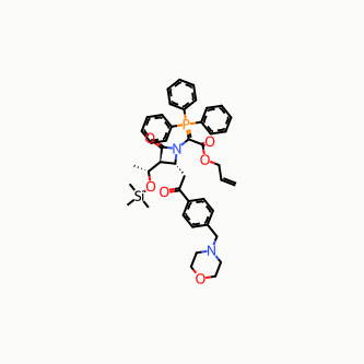 C=CCOC(=O)C(N1C(=O)[C@H]([C@@H](C)O[Si](C)(C)C)[C@H]1CC(=O)c1ccc(CN2CCOCC2)cc1)=P(c1ccccc1)(c1ccccc1)c1ccccc1